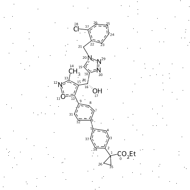 CCOC(=O)C1(c2ccc(-c3ccc(-c4onc(C)c4[C@@H](O)c4cn(Cc5ccccc5Cl)nn4)cc3)cc2)CC1